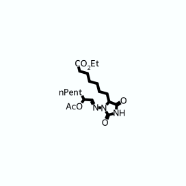 CCCCCC(C=NN1C(=O)NC(=O)C1CCCCCCC(=O)OCC)OC(C)=O